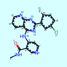 CNC(=O)c1cnccc1Nc1nc(-c2cc(Cl)ccc2F)nc2ncccc12